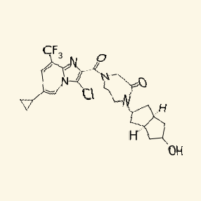 O=C(c1nc2c(C(F)(F)F)cc(C3CC3)cn2c1Cl)N1CCN(C2C[C@H]3CC(O)C[C@H]3C2)C(=O)C1